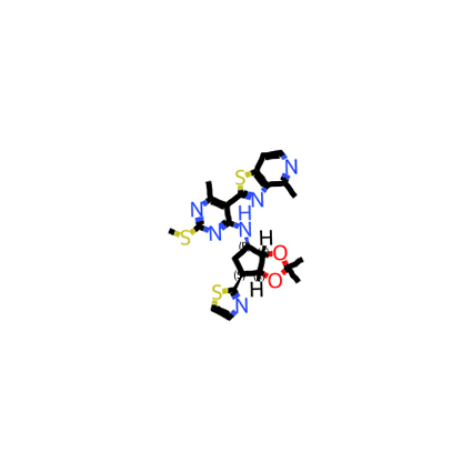 CSc1nc(C)c(-c2nc3c(C)nccc3s2)c(N[C@@H]2C[C@H](c3nccs3)[C@H]3OC(C)(C)O[C@H]32)n1